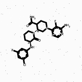 NC(=O)C1CCN(c2ncnc(N)c2F)C[C@@H]1N1CCC[C@H](Nc2cc(F)cc(Cl)c2)C1=O